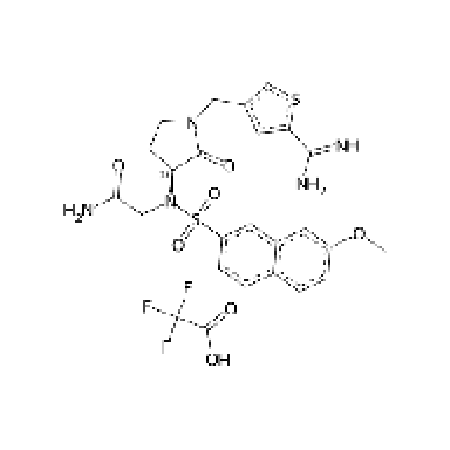 COc1ccc2ccc(S(=O)(=O)N(CC(N)=O)[C@H]3CCN(Cc4csc(C(=N)N)c4)C3=O)cc2c1.O=C(O)C(F)(F)F